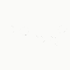 O=C(NO)c1ccc(C=NNC(=O)c2cncc(-c3ccccc3)n2)cc1